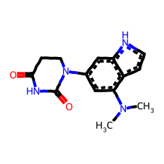 CN(C)c1cc(N2CCC(=O)NC2=O)cc2[nH]ccc12